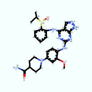 COc1cc(N2CCC(C(N)=O)CC2)ccc1Nc1nc(Nc2ccccc2[S+]([O-])C(C)C)c2cn[nH]c2n1